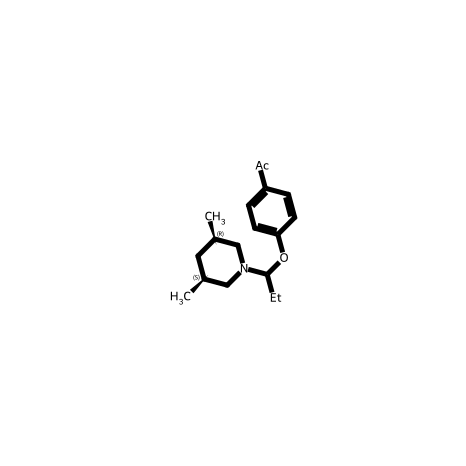 CCC(Oc1ccc(C(C)=O)cc1)N1C[C@H](C)C[C@H](C)C1